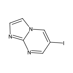 Ic1cnc2nccn2c1